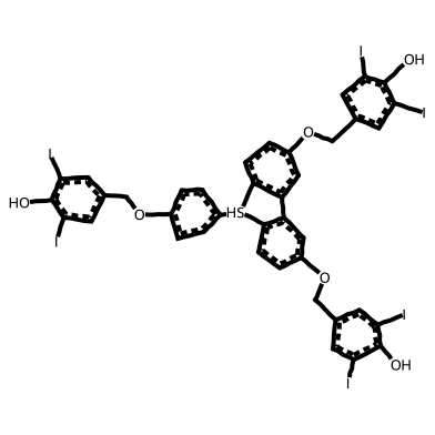 Oc1c(I)cc(COc2ccc([SH]3c4ccc(OCc5cc(I)c(O)c(I)c5)cc4-c4cc(OCc5cc(I)c(O)c(I)c5)ccc43)cc2)cc1I